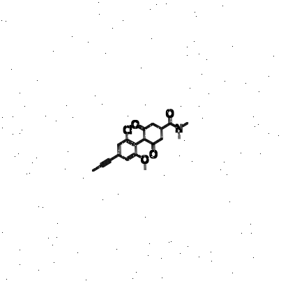 CC#Cc1cc(Cl)c(C2C(=O)CC(C(=O)N(C)C)CC2=O)c(OC)c1